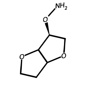 NO[C@H]1COC2CCOC21